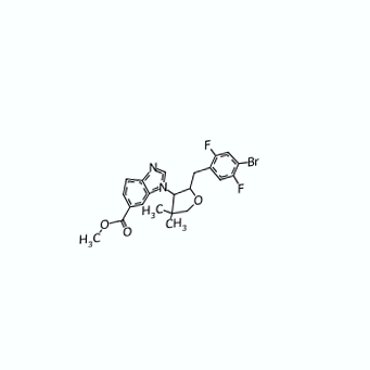 COC(=O)c1ccc2ncn(C3C(Cc4cc(F)c(Br)cc4F)OCC3(C)C)c2c1